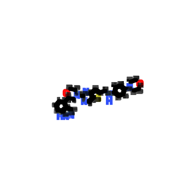 c1cc(C2CN(c3ncc4sc(CNc5ccc(N6CCOCC6)cc5)cc4n3)CCO2)c2cn[nH]c2c1